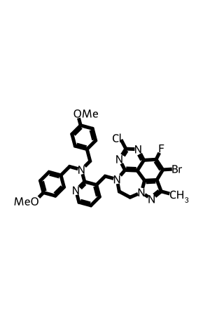 COc1ccc(CN(Cc2ccc(OC)cc2)c2ncccc2CN2CCn3nc(C)c4c(Br)c(F)c5nc(Cl)nc2c5c43)cc1